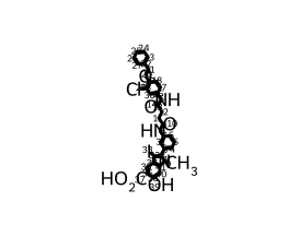 Cn1c(-c2cccc(NC(=O)CCC(=O)Nc3ccc(OCc4ccccc4)c(Cl)c3)c2)c(I)c2cc(C(=O)O)c(O)cc21